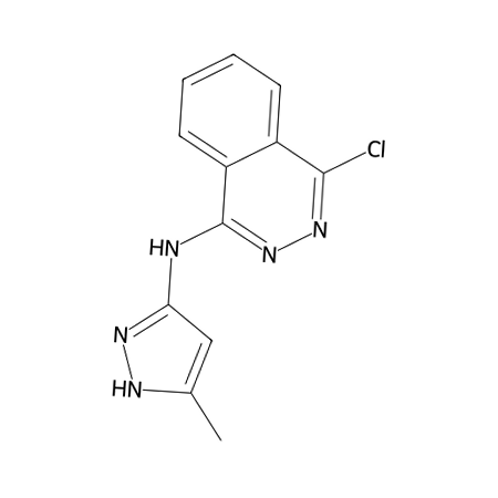 Cc1cc(Nc2nnc(Cl)c3ccccc23)n[nH]1